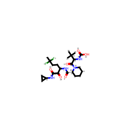 CC(F)(F)CCC(NC(=O)[C@H]1CCCCN1C(=O)C(NC(=O)O)C(C)(C)C)C(=O)C(=O)NC1CC1